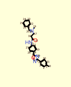 Cc1ccc(-c2noc(-c3ccc(NC(=O)CCN(C)Cc4ccccc4)cc3)n2)cc1